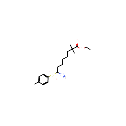 [C-]#[N+]C(CCCCCC(C)(C)C(=O)OCC)S(=O)(=O)c1ccc(C)cc1